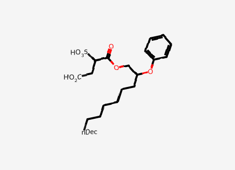 CCCCCCCCCCCCCCCCC(COC(=O)C(CC(=O)O)S(=O)(=O)O)Oc1ccccc1